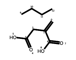 C=C(CC(=O)O)C(=O)O.CCCC